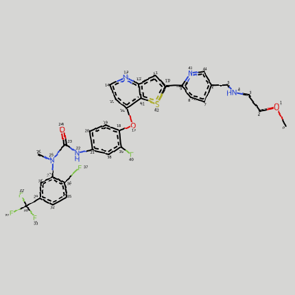 COCCNCc1ccc(-c2cc3nccc(Oc4ccc(NC(=O)N(C)c5cc(C(F)(F)F)ccc5F)cc4F)c3s2)nc1